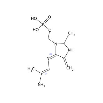 C=C1NC(C)N(COP(=O)(O)O)/C1=N/C=C(\C)N